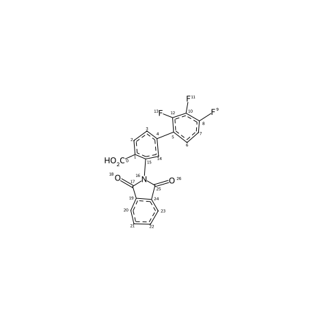 O=C(O)c1ccc(-c2ccc(F)c(F)c2F)cc1N1C(=O)c2ccccc2C1=O